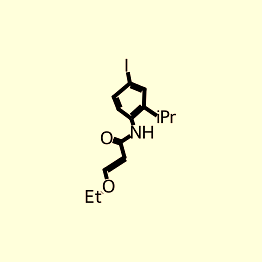 CCOC=CC(=O)Nc1ccc(I)cc1C(C)C